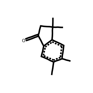 Cc1cc2c(cc1C)C(C)(C)CC2=O